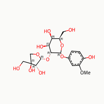 COc1cc(O[C@H]2O[C@H](CO)[C@H](O)[C@H](O)[C@H]2O[C@H]2OC[C@@](O)(CO)[C@H]2O)ccc1O